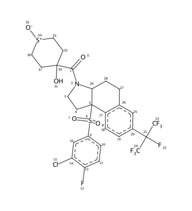 O=C(N1CCC2(S(=O)(=O)c3ccc(F)c(Cl)c3)c3ccc(C(F)(C(F)(F)F)C(F)(F)F)cc3CCC12)C1(O)CC[S+]([O-])CC1